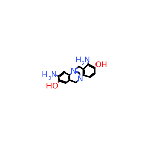 Nc1cc2c(cc1O)CN1CN2Cc2c1ccc(O)c2N